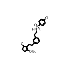 CC(C)COC1=C(CCc2cccc(CCNS(=O)(=O)c3ccc(Cl)cc3)c2)C(=O)CC1